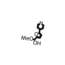 COC(O)c1ccc(-c2ccncc2)o1